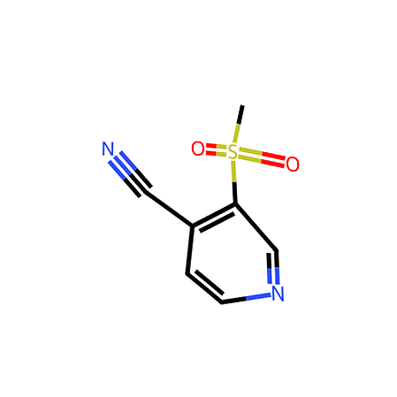 CS(=O)(=O)c1cnccc1C#N